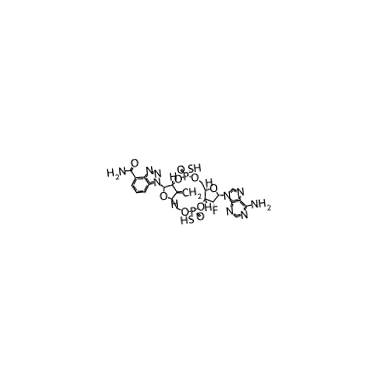 C=C1[C@H]2O[P@](=O)(S)OC[C@H]3O[C@@H](n4cnc5c(N)ncnc54)[C@H](F)[C@@H]3O[P@](=O)(S)OC[C@H]1O[C@H]2n1nnc2c(C(N)=O)cccc21